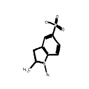 CC(=O)N1c2ccc(S(=O)(=O)Cl)cc2CC1C